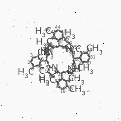 Cc1ccc(C)c(-c2c3nc(c(-c4c(C)ccc(C)c4C)c4ccc([nH]4)c(-c4c(C)ccc(C)c4C)c4nc(c(-c5c(C)ccc(C)c5C)c5ccc2[nH]5)CC4)C=C3)c1C